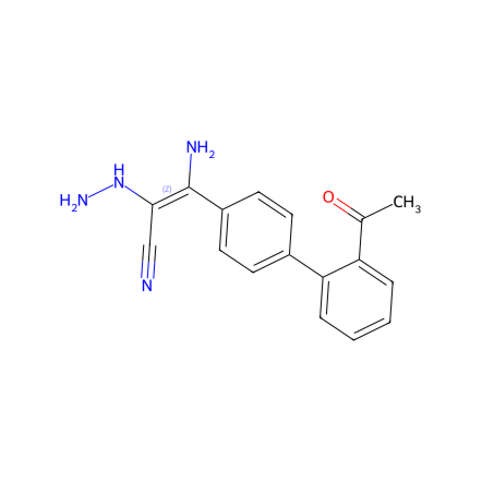 CC(=O)c1ccccc1-c1ccc(/C(N)=C(\C#N)NN)cc1